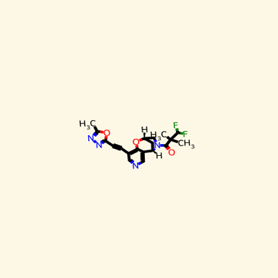 Cc1nnc(C#Cc2cncc3c2O[C@H]2C[C@@H]3N(C(=O)C(C)(C)C(F)F)C2)o1